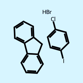 Br.Clc1ccc(I)cc1.c1ccc2c(c1)Cc1ccccc1-2